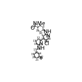 CNC(=O)[C@H]1CC[C@H](Nc2cc(-c3cccc(NCc4cccc(F)c4)n3)c(Cl)cn2)CC1